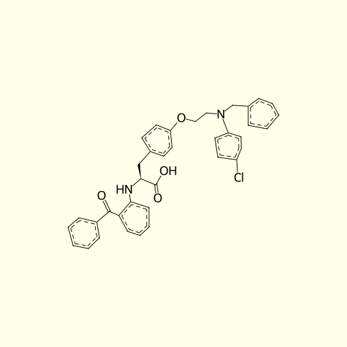 O=C(c1ccccc1)c1ccccc1N[C@@H](Cc1ccc(OCCN(Cc2ccccc2)c2ccc(Cl)cc2)cc1)C(=O)O